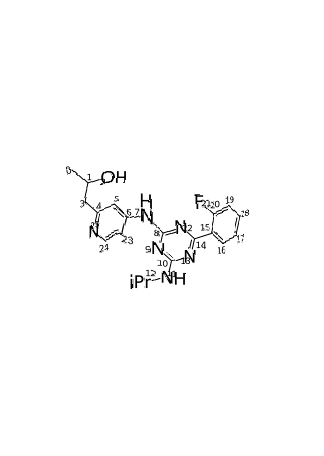 CC(O)Cc1cc(Nc2nc(NC(C)C)nc(-c3ccccc3F)n2)ccn1